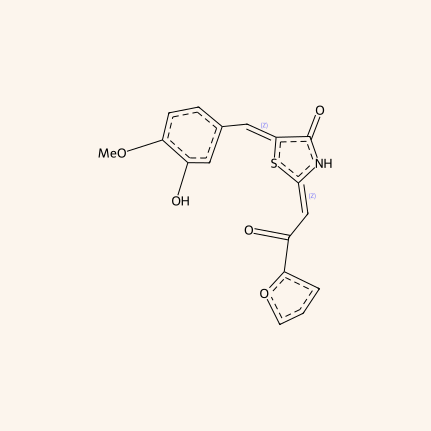 COc1ccc(/C=c2\s/c(=C\C(=O)c3ccco3)[nH]c2=O)cc1O